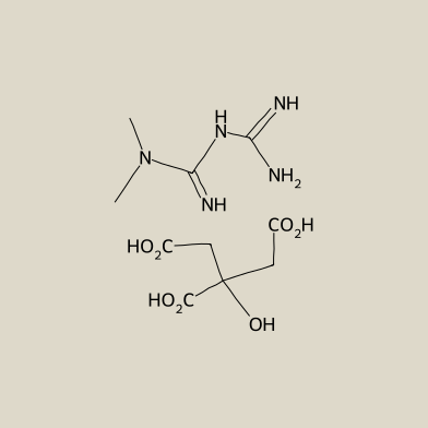 CN(C)C(=N)NC(=N)N.O=C(O)CC(O)(CC(=O)O)C(=O)O